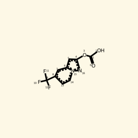 O=C(O)Oc1cc2cc(C(F)(F)F)ccn2n1